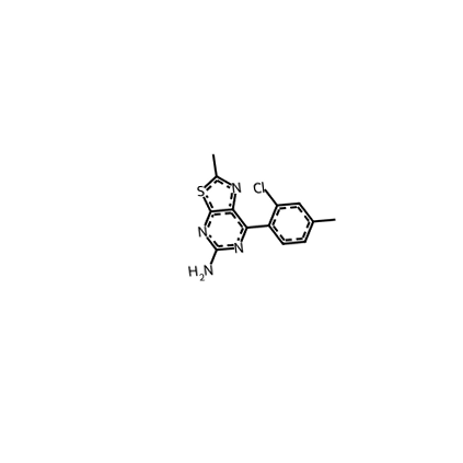 Cc1ccc(-c2nc(N)nc3sc(C)nc23)c(Cl)c1